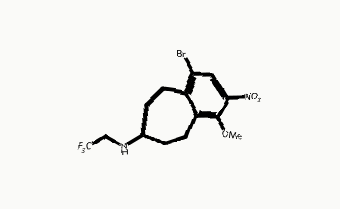 COc1c([N+](=O)[O-])cc(Br)c2c1CCC(NCC(F)(F)F)CC2